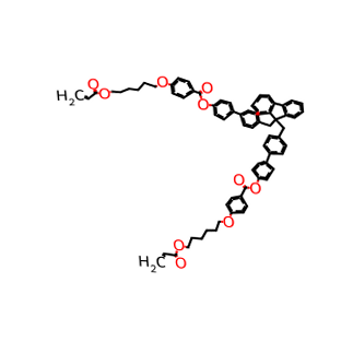 C=CC(=O)OCCCCCCOc1ccc(C(=O)Oc2ccc(-c3ccc(CC4(Cc5ccc(-c6ccc(OC(=O)c7ccc(OCCCCCCOC(=O)C=C)cc7)cc6)cc5)c5ccccc5-c5ccccc54)cc3)cc2)cc1